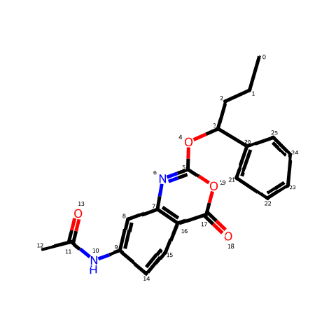 CCCC(Oc1nc2cc(NC(C)=O)ccc2c(=O)o1)c1ccccc1